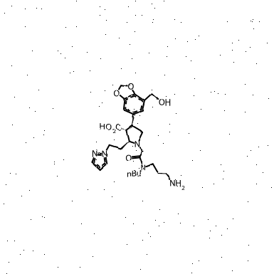 CCCCN(CCCN)C(=O)CN1C[C@H](c2cc(CO)c3c(c2)OCO3)[C@@H](C(=O)O)[C@@H]1CCn1cccn1